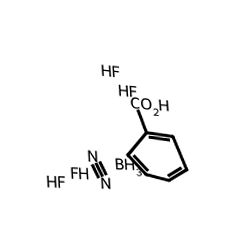 B.F.F.F.F.N#N.O=C(O)c1ccccc1